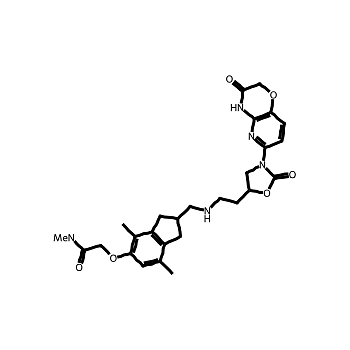 CNC(=O)COc1cc(C)c2c(c1C)CC(CNCCC1CN(c3ccc4c(n3)NC(=O)CO4)C(=O)O1)C2